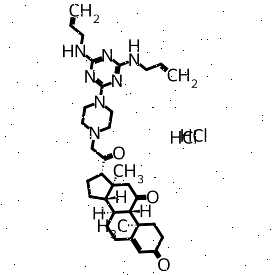 C=CCNc1nc(NCC=C)nc(N2CCN(CC(=O)[C@H]3CC[C@H]4[C@@H]5CCC6=CC(=O)CC[C@]6(C)[C@H]5C(=O)C[C@]34C)CC2)n1.Cl.Cl